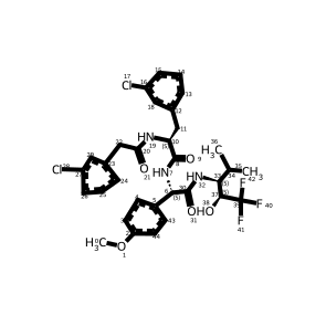 COc1ccc([C@H](NC(=O)[C@H](Cc2cccc(Cl)c2)NC(=O)Cc2cccc(Cl)c2)C(=O)N[C@@H](C(C)C)[C@H](O)C(F)(F)F)cc1